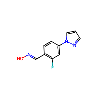 ON=Cc1ccc(-n2cccn2)cc1F